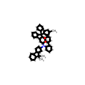 Cc1ccc(C2(c3ccccc3)c3ccccc3-c3cc(N(c4ccc5c(c4)C(C)(C)c4ccccc4-5)c4ccccc4-c4ccccc4)ccc32)cc1